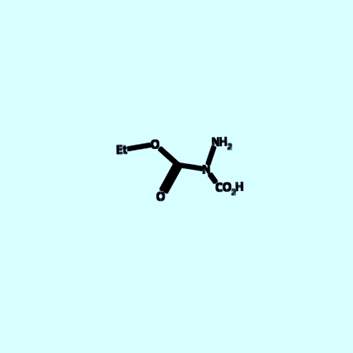 CCOC(=O)N(N)C(=O)O